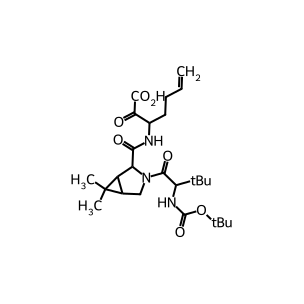 C=CCCC(NC(=O)C1C2C(CN1C(=O)C(NC(=O)OC(C)(C)C)C(C)(C)C)C2(C)C)C(=O)C(=O)O